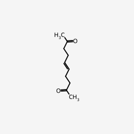 CC(=O)CCC=CCCC(C)=O